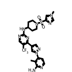 Cc1c(-n2cc(-c3nc(NC4CCN(S(=O)(=O)c5cn(C)cn5)CC4)ncc3C(F)(F)F)cn2)ccnc1N